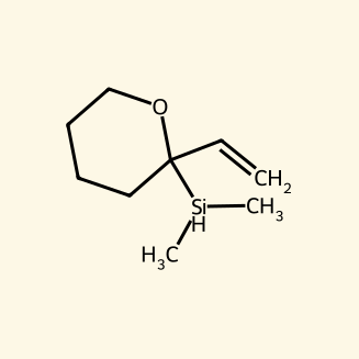 C=CC1([SiH](C)C)CCCCO1